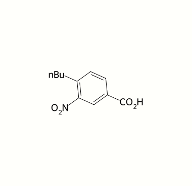 CCCCc1ccc(C(=O)O)cc1[N+](=O)[O-]